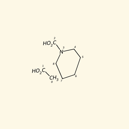 CC(=O)O.O=C(O)N1CCCCC1